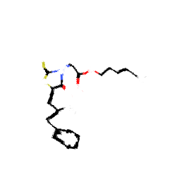 C/C(C=C1SC(=S)N(CC(=O)OCCC=CC(F)(F)F)C1=O)=C\c1ccccc1